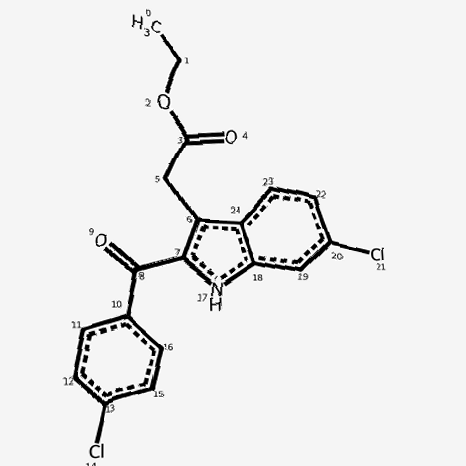 CCOC(=O)Cc1c(C(=O)c2ccc(Cl)cc2)[nH]c2cc(Cl)ccc12